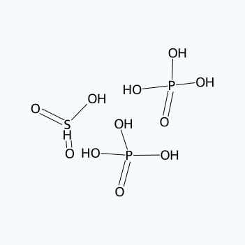 O=P(O)(O)O.O=P(O)(O)O.O=[SH](=O)O